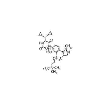 Cc1cnn(C)c1-c1ccc(NC(=O)C(NC(=O)OC(C)(C)C)C(C2CC2)C2CC2)cc1COCC[Si](C)(C)C